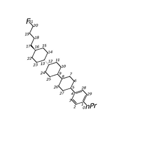 CCCc1ccc(C2CCC(C3CCC([C@H]4CC[C@H](CCCCF)CC4)CC3)CC2)cc1